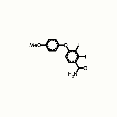 COc1ccc(Oc2ccc(C(N)=O)c(I)c2I)cc1